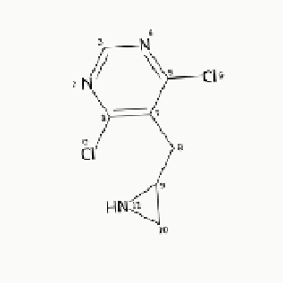 Clc1ncnc(Cl)c1CC1CN1